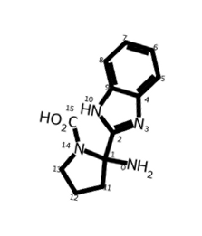 NC1(c2nc3ccccc3[nH]2)CCCN1C(=O)O